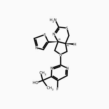 CC(C)(O)c1nc(N2C[C@H]3CSC(N)=N[C@@]3(c3cncs3)C2)ncc1F